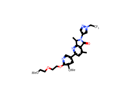 COCCOCCOc1ncc(-c2cc(C)c3c(n2)C(C)N(c2cnn(CC(F)(F)F)c2)C3=O)cc1OC